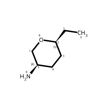 CC[C@H]1CC[C@@H](N)CO1